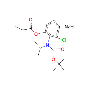 CCC(=O)Oc1cccc(Cl)c1N(C(=O)OC(C)(C)C)C(C)C.[NaH]